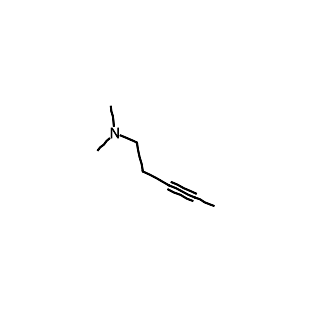 CC#CCCN(C)C